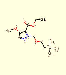 CCOC(=O)c1c(OC)cnn1COCC[Si](C)(C)C